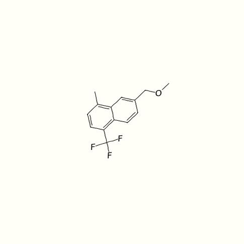 COCc1ccc2c(C(F)(F)F)ccc(C)c2c1